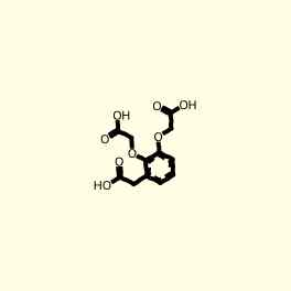 O=C(O)COc1cccc(CC(=O)O)c1OCC(=O)O